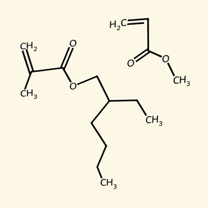 C=C(C)C(=O)OCC(CC)CCCC.C=CC(=O)OC